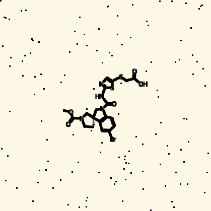 COC(=O)N1CC[C@]2(C1)CN(C(=O)Nc1ncc(SCC(=O)O)s1)c1ccc(Br)cc12